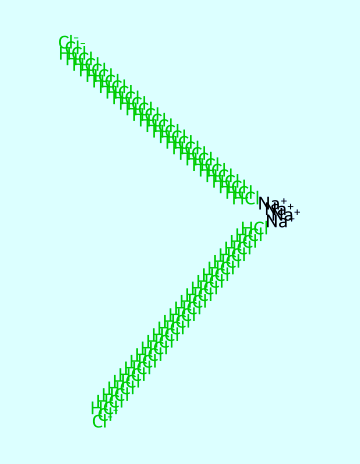 Cl.Cl.Cl.Cl.Cl.Cl.Cl.Cl.Cl.Cl.Cl.Cl.Cl.Cl.Cl.Cl.Cl.Cl.Cl.Cl.Cl.Cl.Cl.Cl.Cl.Cl.Cl.Cl.Cl.Cl.Cl.Cl.Cl.Cl.Cl.Cl.Cl.Cl.Cl.Cl.Cl.Cl.Cl.Cl.Cl.Cl.Cl.Cl.Cl.Cl.Cl.Cl.Cl.Cl.Cl.[Cl-].[Cl-].[Cl-].[Cl-].[Na+].[Na+].[Na+].[Na+]